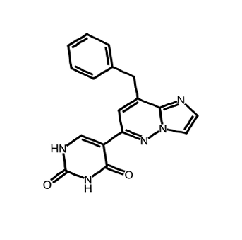 O=c1[nH]cc(-c2cc(Cc3ccccc3)c3nccn3n2)c(=O)[nH]1